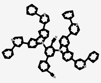 N#Cc1cccc(-c2cc(-n3c4ccc(-c5ccnc(-c6ccccc6)c5)cc4c4cc(-c5ccnc(-c6ccccc6)c5)ccc43)c(C#N)c(-n3c4ccc(-c5ccnc(-c6ccccc6)c5)cc4c4cc(-c5ccnc(-c6ccccc6)c5)ccc43)c2)c1